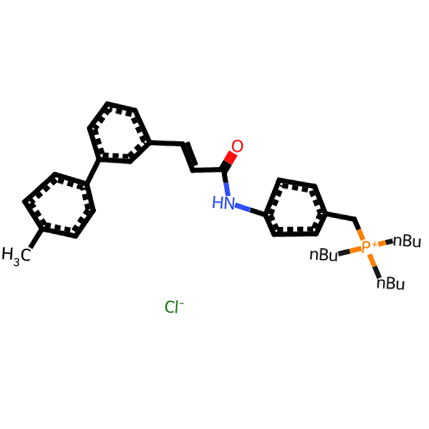 CCCC[P+](CCCC)(CCCC)Cc1ccc(NC(=O)C=Cc2cccc(-c3ccc(C)cc3)c2)cc1.[Cl-]